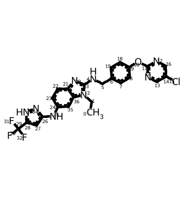 CCn1c(NCc2ccc(Oc3ncc(Cl)cn3)cc2)nc2ccc(Nc3cc(C(F)(F)F)[nH]n3)cc21